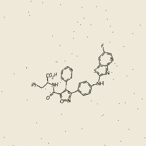 CC(C)C[C@H](NC(=O)c1onc(-c2ccc(Nc3nc4ccc(F)cc4s3)cc2)c1-c1ccccc1)C(=O)O